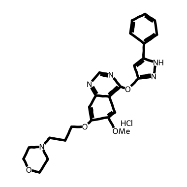 COc1cc2c(Oc3cc(-c4ccccc4)[nH]n3)ncnc2cc1OCCCN1CCOCC1.Cl